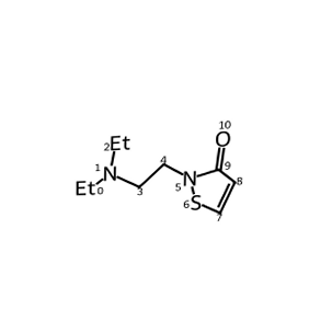 CCN(CC)CCn1sccc1=O